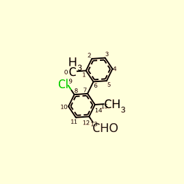 Cc1ccccc1-c1c(Cl)ccc(C=O)c1C